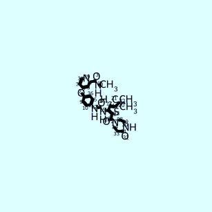 CNC(=O)c1cc(Oc2ccc(NC(=O)Nc3cc(C(C)(C)C)sc3C(=O)N3CCNC(=O)CC3)cc2)ccn1